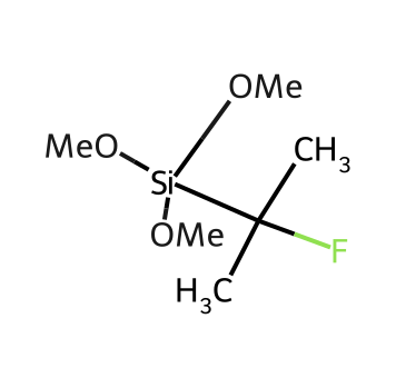 CO[Si](OC)(OC)C(C)(C)F